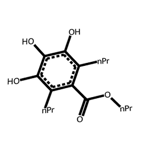 CCCOC(=O)c1c(CCC)c(O)c(O)c(O)c1CCC